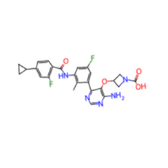 Cc1c(NC(=O)c2ccc(C3CC3)cc2F)cc(F)cc1-c1ncnc(N)c1OC1CN(C(=O)O)C1